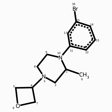 CC1CN(C2COC2)CCN1c1cccc(Br)c1